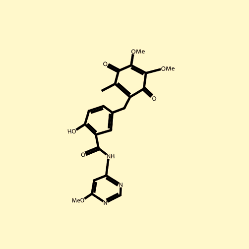 COC1=C(OC)C(=O)C(Cc2ccc(O)c(C(=O)Nc3cc(OC)ncn3)c2)=C(C)C1=O